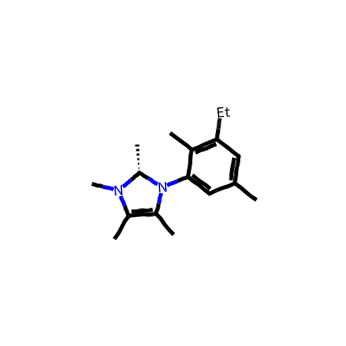 CCc1cc(C)cc(N2C(C)=C(C)N(C)[C@@H]2C)c1C